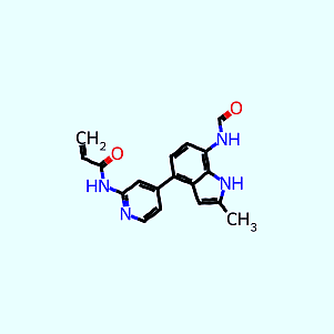 C=CC(=O)Nc1cc(-c2ccc(NC=O)c3[nH]c(C)cc23)ccn1